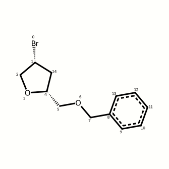 Br[C@H]1CO[C@@H](COCc2ccccc2)C1